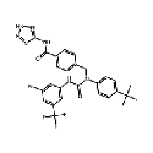 CC(C)(C)c1ccc(N(Cc2ccc(C(=O)Nc3nn[nH]n3)cc2)C(=O)Nc2cc(Br)cc(C(F)(F)F)c2)cc1